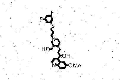 COc1ccc2nccc([C@@H](O)CC[C@@H]3CCN(CCCSc4cc(F)cc(F)c4)C[C@@H]3CO)c2c1